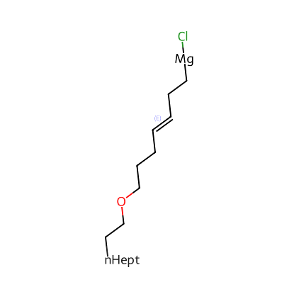 CCCCCCCCCOCCC/C=C/C[CH2][Mg][Cl]